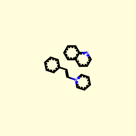 C(=C[n+]1ccccc1)c1ccccc1.c1ccc2ncccc2c1